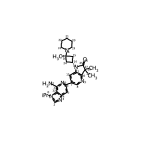 CC(C)n1cnc2cc(-c3cnc4c(c3)N([C@H]3C[C@@](C)(N5CCCCC5)C3)C(=O)C4(C)C)nc(N)c21